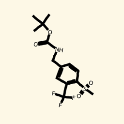 CC(C)(C)OC(=O)NCc1ccc(S(C)(=O)=O)c(C(F)(F)F)c1